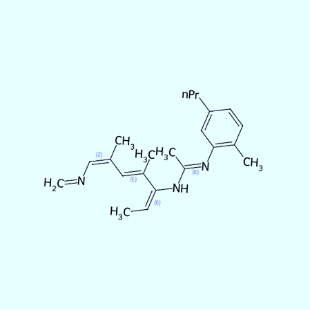 C=N\C=C(C)/C=C(C)/C(=C\C)N/C(C)=N/c1cc(CCC)ccc1C